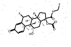 CCC(=O)O[C@]1(C(=O)SCF)CC[C@H]2[C@@H]3CC(F)C4=CC(=O)C=C[C@]4(C)[C@@]3(F)[C@@H](O)C[C@@]21C